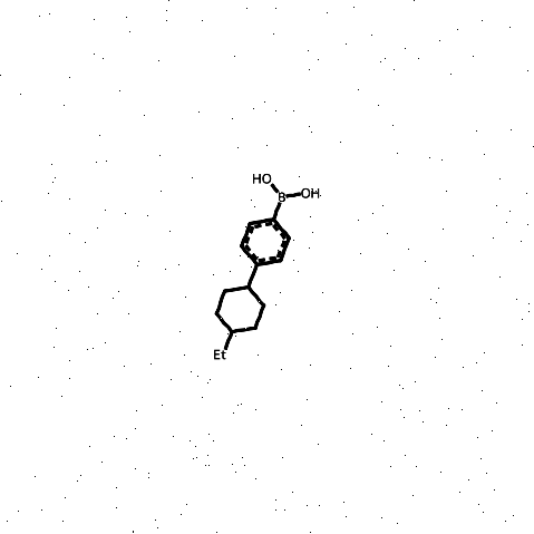 CCC1CCC(c2ccc(B(O)O)cc2)CC1